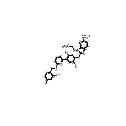 COCCn1c(Cc2cc(F)c(-c3cccc(OCc4ccc(C)cc4F)n3)cc2F)nc2ccc(C(=O)O)nc21